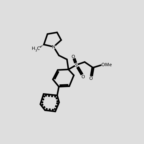 COC(=O)CS(=O)(=O)C1(CCN2CCC[C@H]2C)C=CC(c2ccccc2)=CC1